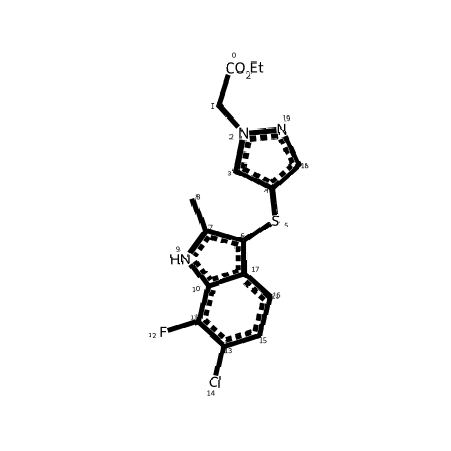 CCOC(=O)Cn1cc(Sc2c(C)[nH]c3c(F)c(Cl)ccc23)cn1